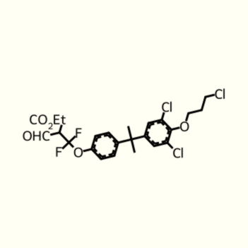 CCOC(=O)C(C=O)C(F)(F)Oc1ccc(C(C)(C)c2cc(Cl)c(OCCCCl)c(Cl)c2)cc1